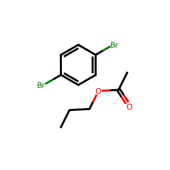 Brc1ccc(Br)cc1.CCCOC(C)=O